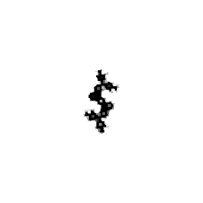 Cc1cc(N(c2cc(C)c(C(C)C)c(C)c2)c2ccc3c4cccc5c6cc7c(cc6n(c3c2)c45)c2cccc3c4ccc(N(c5cc(C)c(C(C)C)c(C)c5)c5cc(C)c(C(C)C)c(C)c5)cc4n7c32)ccc1C(C)C